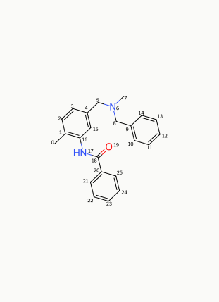 Cc1ccc(CN(C)Cc2ccccc2)cc1NC(=O)c1ccccc1